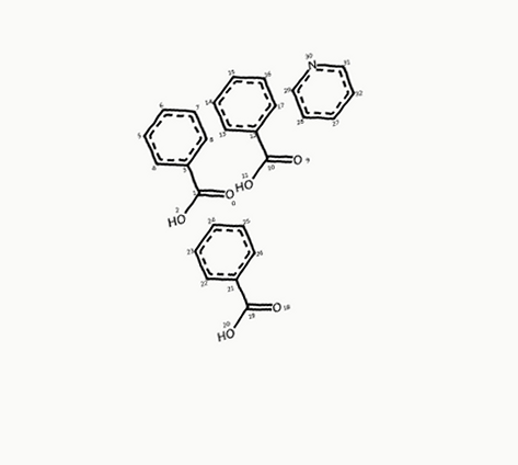 O=C(O)c1ccccc1.O=C(O)c1ccccc1.O=C(O)c1ccccc1.c1ccncc1